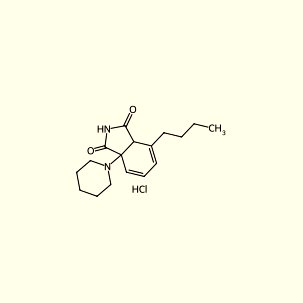 CCCCC1=CC=CC2(N3CCCCC3)C(=O)NC(=O)C12.Cl